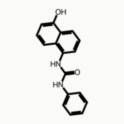 O=C(Nc1ccccc1)Nc1cccc2c(O)cccc12